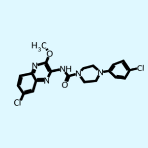 COc1nc2ccc(Cl)cc2nc1NC(=O)N1CCN(c2ccc(Cl)cc2)CC1